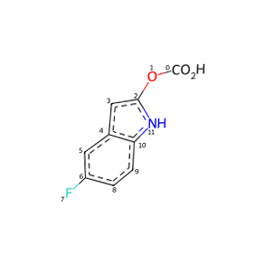 O=C(O)Oc1cc2cc(F)ccc2[nH]1